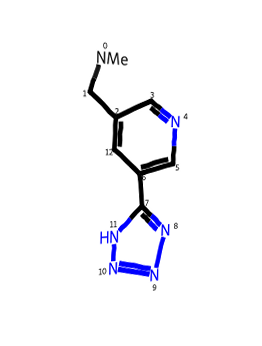 CNCc1cncc(-c2nnn[nH]2)c1